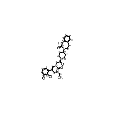 O=C(CN1C=C(c2cccc(Cl)c2Cl)CN(CC(F)(F)F)C1=O)N1CCC(N2CCc3ccccc3NC2=O)CC1